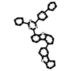 c1ccc(-c2ccc(-c3nc(-c4ccccc4)nc(-c4cccc5c4oc4cccc(-c6ccc7oc8ccccc8c7c6)c45)n3)cc2)cc1